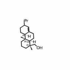 CC(C)C1C=C2CC[C@H]3[C@](C)(CO)CCC[C@]3(C)[C@H]2CC1